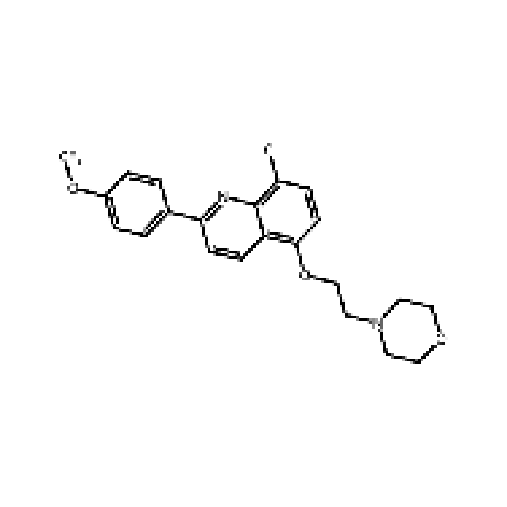 FC(F)(F)Oc1ccc(-c2ccc3c(OCCN4CCOCC4)ccc(Cl)c3n2)cc1